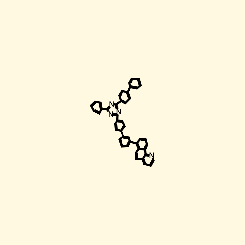 c1ccc(-c2ccc(-c3nc(-c4ccccc4)nc(-c4ccc(-c5cccc(-c6cccc7c6ccc6cccnc67)c5)cc4)n3)cc2)cc1